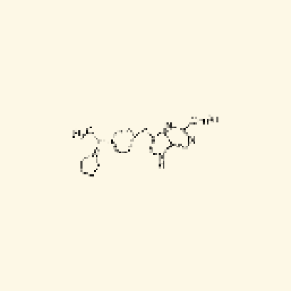 CCCCOc1ncc2[nH]cc(Cc3ccc(C(C)N4CCCC4)cc3)c2n1